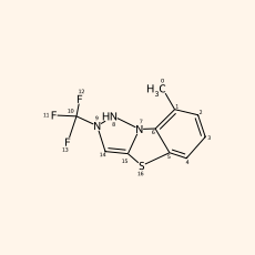 Cc1cccc2c1N1NN(C(F)(F)F)C=C1S2